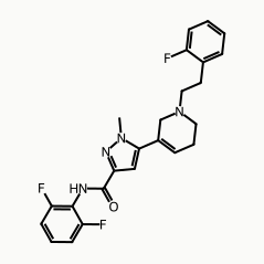 Cn1nc(C(=O)Nc2c(F)cccc2F)cc1C1=CCCN(CCc2ccccc2F)C1